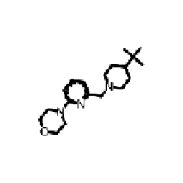 CC(C)(C)C1CCN(Cc2cccc(N3CCOCC3)n2)CC1